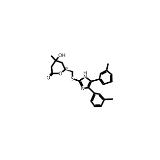 Cc1cccc(-c2nc(SC[C@@H]3CC(C)(O)CC(=O)O3)[nH]c2-c2cccc(C)c2)c1